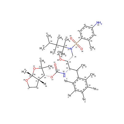 [2H]c1c([2H])c([2H])c(C(C)[C@H](NC(=O)O[C@@H]2[C@@H]3CCO[C@]3(C)OC2(C)C)[C@@H](CN(C(C)(C)C(C)(C)C(C)C)S(=O)(=O)c2ccc(N)cc2C)OC)c(C)c1[2H]